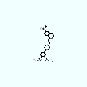 COc1ccc(C2CCN(CCC3CCCc4cc([N+](=O)[O-])ccc43)CC2)cc1OC